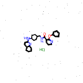 Cl.O=C(NCC1CCC(Nc2ccc3ccccc3n2)CC1)c1cccnc1Oc1ccccc1